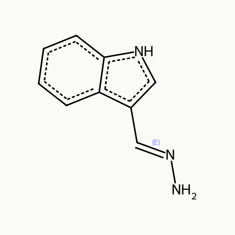 N/N=C/c1c[nH]c2ccccc12